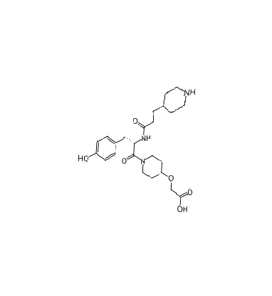 O=C(O)COC1CCN(C(=O)[C@H](Cc2ccc(O)cc2)NC(=O)CCC2CCNCC2)CC1